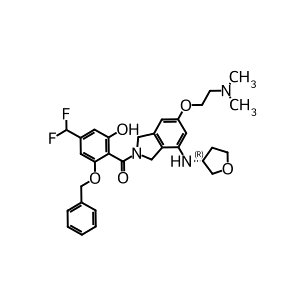 CN(C)CCOc1cc2c(c(N[C@@H]3CCOC3)c1)CN(C(=O)c1c(O)cc(C(F)F)cc1OCc1ccccc1)C2